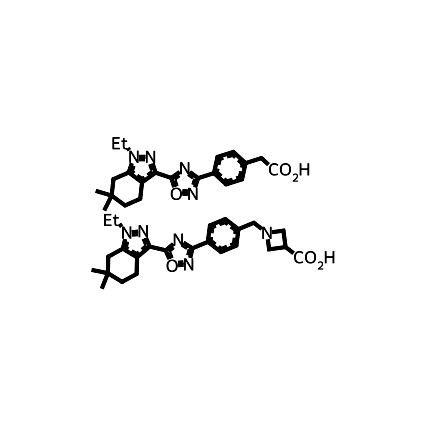 CCn1nc(-c2nc(-c3ccc(CC(=O)O)cc3)no2)c2c1CC(C)(C)CC2.CCn1nc(-c2nc(-c3ccc(CN4CC(C(=O)O)C4)cc3)no2)c2c1CC(C)(C)CC2